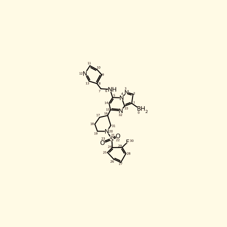 Bc1cnn2c(NCc3cccnc3)cc(C3CCCN(S(=O)(=O)c4ccccc4F)C3)nc12